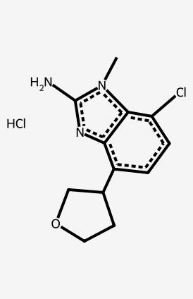 Cl.Cn1c(N)nc2c(C3CCOC3)ccc(Cl)c21